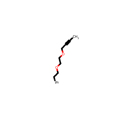 CC#CCOCCOCCC(C)C